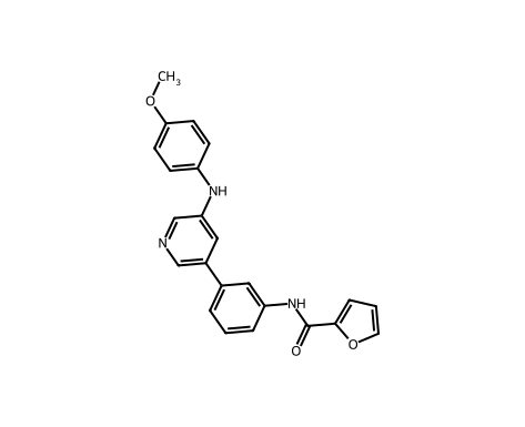 COc1ccc(Nc2cncc(-c3cccc(NC(=O)c4ccco4)c3)c2)cc1